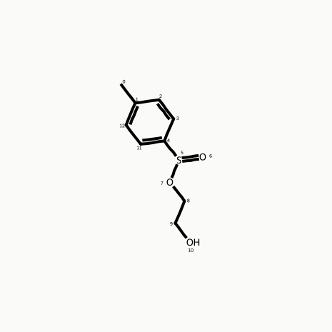 Cc1ccc(S(=O)OCCO)cc1